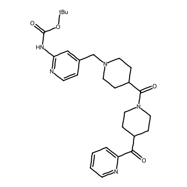 CC(C)(C)OC(=O)Nc1cc(CN2CCC(C(=O)N3CCC(C(=O)c4ccccn4)CC3)CC2)ccn1